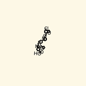 O=C(O)c1ccc2nc(CN3CCC(c4cccc(OCc5ccc(Cl)c6ccoc56)n4)CC3)n(CC3CCCO3)c2c1